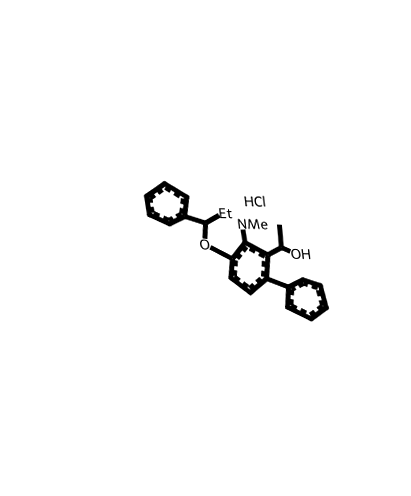 CCC(Oc1ccc(-c2ccccc2)c(C(C)O)c1NC)c1ccccc1.Cl